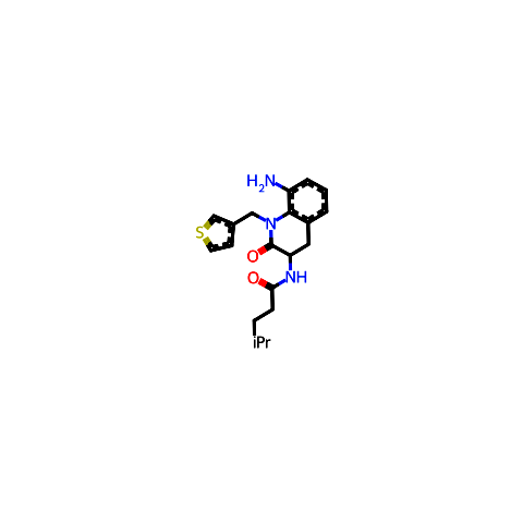 CC(C)CCC(=O)NC1Cc2cccc(N)c2N(Cc2ccsc2)C1=O